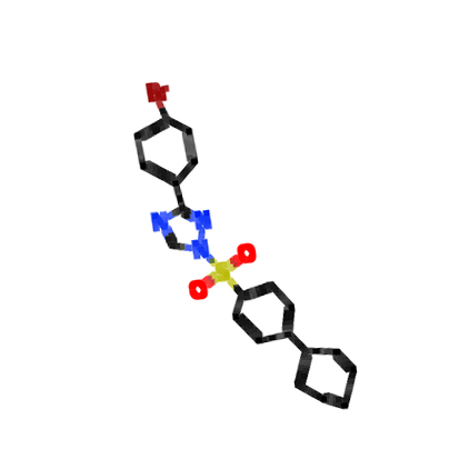 O=S(=O)(c1ccc(-c2ccccc2)cc1)n1cnc(-c2ccc(Br)cc2)n1